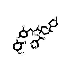 COc1ccc(Oc2ccc(CNC(=O)C3(NC(=O)c4cncnc4)CC[N+](C)(C4CCNCC4)CC3)c(Cl)c2)c(Cl)c1